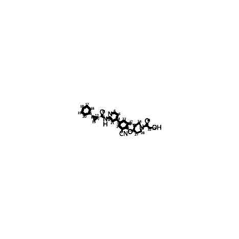 N#Cc1cc(-c2ccnc(NC(=O)[C@@H]3C[C@@H]3c3ccccc3)c2)ccc1O[C@H]1CCN(C(=O)CO)C[C@H]1F